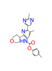 Cc1ccc(OC(=O)Nc2cc(C)c(-c3cnc(C)nc3)nc2C2CCOCC2)cc1